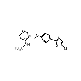 O=C(O)N[C@H]1CCOC[C@@H]1COc1ccc(-c2ncc(Cl)s2)cc1